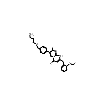 NCCCNCc1ccc(-c2cn3c(=O)cc(Cc4ccccc4OCF)[nH]c3nc2=O)cc1